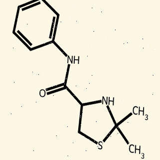 CC1(C)NC(C(=O)Nc2ccccc2)CS1